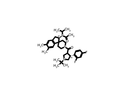 CC(=O)N(C(C)C)[C@@H]1Cc2cc(C)c(C)cc2C12CCN(C(=O)C1CN(C(C)(C)C)C[C@H]1c1ccc(F)cc1F)CC2